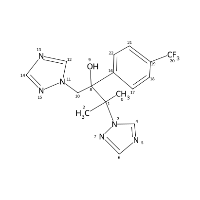 CC(C)(n1cncn1)C(O)(Cn1cncn1)c1ccc(C(F)(F)F)cc1